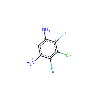 Nc1cc(N)c(F)c(Cl)c1F